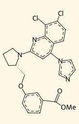 COC(=O)c1cccc(OC[C@@H]2CCCN2c2cc(-n3ccnc3)c3ccc(Cl)c(Cl)c3n2)c1